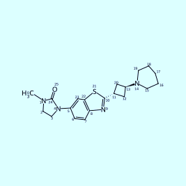 CN1CCN(c2ccc3nc([C@H]4C[C@H](N5CCCCC5)C4)sc3c2)C1=O